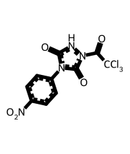 O=C(n1[nH]c(=O)n(-c2ccc([N+](=O)[O-])cc2)c1=O)C(Cl)(Cl)Cl